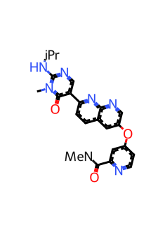 CNC(=O)c1cc(Oc2cnc3nc(-c4cnc(NC(C)C)n(C)c4=O)ccc3c2)ccn1